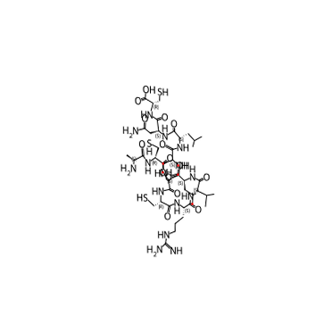 CC(C)C[C@H](NC(=O)[C@H](CO)NC(=O)[C@H](CC(C)C)NC(=O)[C@@H](NC(=O)[C@H](CCCNC(=N)N)NC(=O)[C@H](CS)NC(=O)[C@H](CO)NC(=O)[C@H](CS)NC(=O)[C@H](C)N)C(C)C)C(=O)N[C@@H](CC(N)=O)C(=O)N[C@@H](CS)C(=O)O